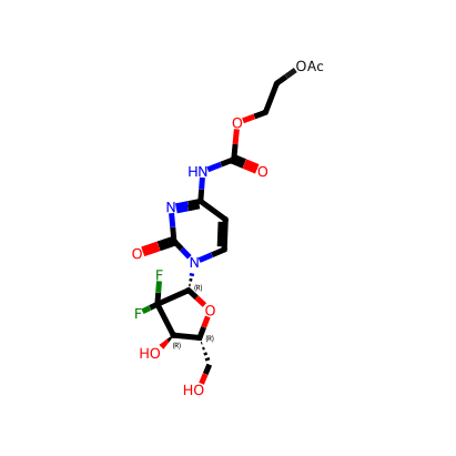 CC(=O)OCCOC(=O)Nc1ccn([C@@H]2O[C@H](CO)[C@@H](O)C2(F)F)c(=O)n1